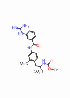 COc1cc(NC(=O)c2cccc(NC(=N)N)c2)ccc1CC(NC(=O)OC(C)C)C(=O)O